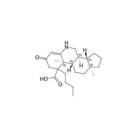 CCCCC1(C(=O)O)CC(=O)C=C2NC[C@H]3[C@@H]4CCC[C@@]4(C)CC[C@@H]3[C@]21C